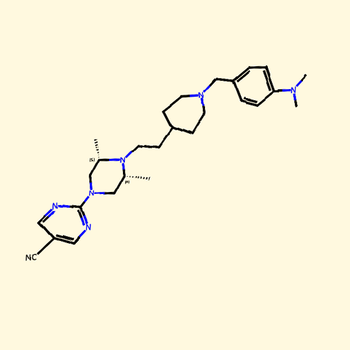 C[C@@H]1CN(c2ncc(C#N)cn2)C[C@H](C)N1CCC1CCN(Cc2ccc(N(C)C)cc2)CC1